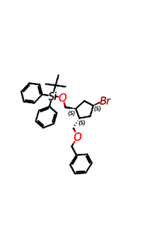 CC(C)(C)[Si](OC[C@H]1C[C@@H](Br)C[C@@H]1COCc1ccccc1)(c1ccccc1)c1ccccc1